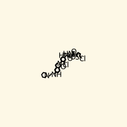 O=C(Nc1ccc(-n2ccc3cc(NCCN4CCCCC4)ccc3c2=O)c(Cl)c1)NS(=O)(=O)c1ccc(Cl)s1